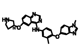 Cc1cc(Nc2ncnc3ccc(O[C@H]4CCNC4)cc23)ccc1Oc1ccc2c(c1)ncn2C